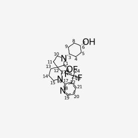 O=C1N([C@H]2CC[C@@H](O)CC2)CCC12CCCN(c1ncccc1C(F)(F)F)C2